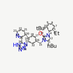 CCCCc1cn(-c2c(CC)cccc2C(C)(C)C)c(=O)n1Cc1ccc(-c2cccnc2-c2nnn[nH]2)cc1